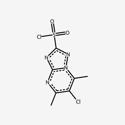 Cc1nc2nc(S(=O)(=O)Cl)nn2c(C)c1Cl